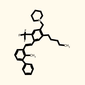 CCCCCc1cc(/C=C/c2cccc(-c3ccccc3)c2C)c(C(F)(F)F)cc1CN1CCCCC1